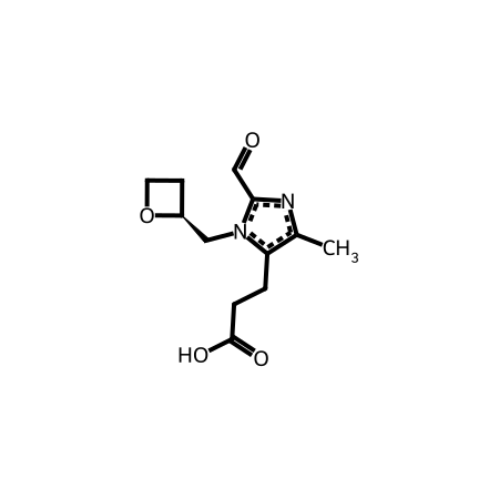 Cc1nc(C=O)n(C[C@@H]2CCO2)c1CCC(=O)O